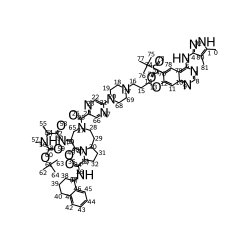 Cc1[nH]nc(Nc2ncnc3cc(OCCCN4CCN(c5cnc(C(=O)N6CCC7CC[C@@H](C(=O)N[C@@H]8CCCc9ccccc98)N7C(=O)[C@@H](NC(=O)[C@H](C)N(C)C(=O)OC(C)(C)C)C6)cn5)CC4)c(S(=O)(=O)C(C)(C)C)cc23)c1C